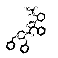 O=C(O)N[C@H]1CCCC[C@@H]1n1cnc(C(=O)N2CCN(Cc3ccccc3)C[C@H]2Cc2ccccc2)c1-c1ccccc1